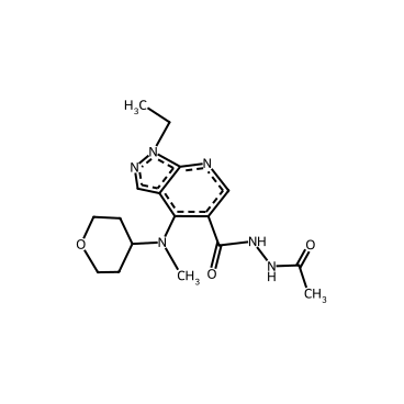 CCn1ncc2c(N(C)C3CCOCC3)c(C(=O)NNC(C)=O)cnc21